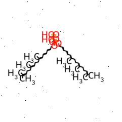 CC(C)=CCC/C(C)=C/CC/C(C)=C/C=C/C=C/COP(=O)(OC/C=C/C=C/C=C(\C)CC/C=C(\C)CCC=C(C)C)OP(=O)(O)O